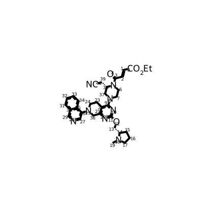 CCOC(=O)/C=C/C(=O)N1CCN(c2nc(OC[C@@H]3CCCN3C)nc3c2CCN(c2cncc4ccccc24)C3)C[C@@H]1CC#N